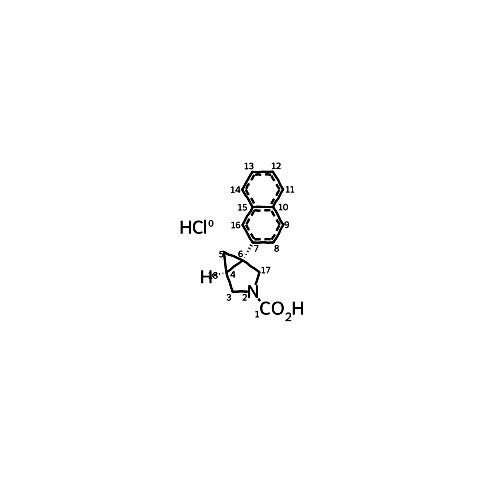 Cl.O=C(O)N1C[C@H]2C[C@@]2(c2ccc3ccccc3c2)C1